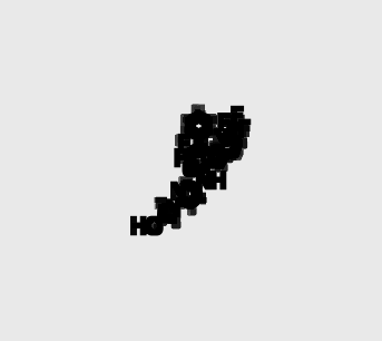 O=C(Nc1ccc(N2CC(O)C2)nc1)c1cc2ccc(C(F)(F)F)nc2n1C(c1ccccc1)C(F)(F)F